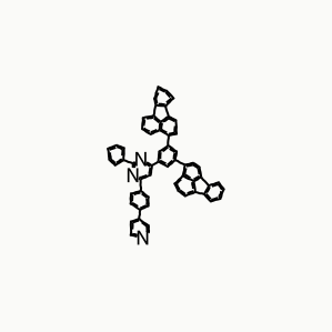 c1ccc(-c2nc(-c3ccc(-c4ccncc4)cc3)cc(-c3cc(-c4ccc5c6c(cccc46)-c4ccccc4-5)cc(-c4ccc5c6c(cccc46)-c4ccccc4-5)c3)n2)cc1